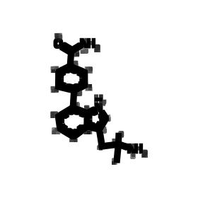 CC(C)(N)Cc1c[nH]c2c(-c3ccc(C(N)=O)cc3)cccc12